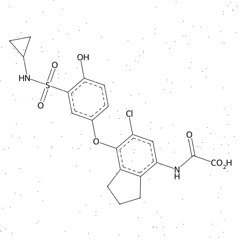 O=C(O)C(=O)Nc1cc(Cl)c(Oc2ccc(O)c(S(=O)(=O)NC3CC3)c2)c2c1CCC2